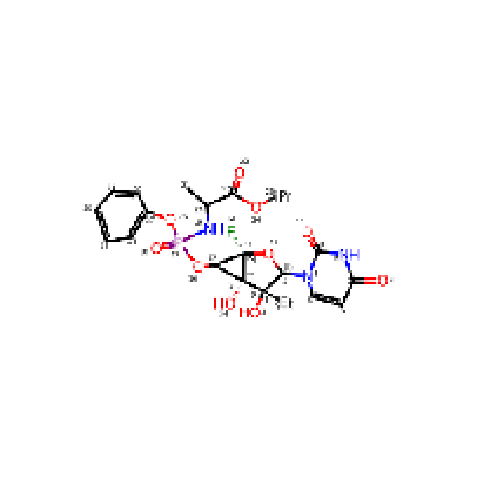 CC[C@]1(O)[C@H](n2ccc(=O)[nH]c2=O)O[C@]2(F)C(OP(=O)(NC(C)C(=O)OC(C)C)Oc3ccccc3)[C@@]21O